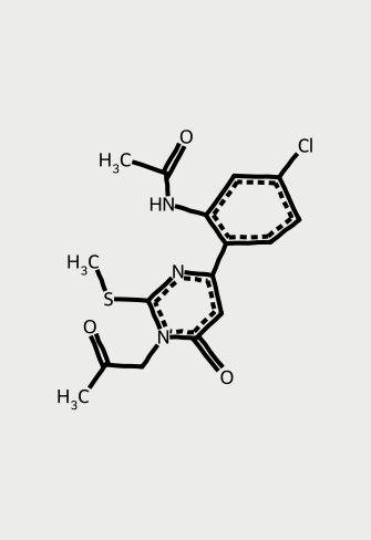 CSc1nc(-c2ccc(Cl)cc2NC(C)=O)cc(=O)n1CC(C)=O